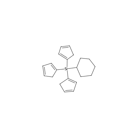 C1=CCC([Si](C2=CC=CC2)(C2=CC=CC2)C2CCCCC2)=C1